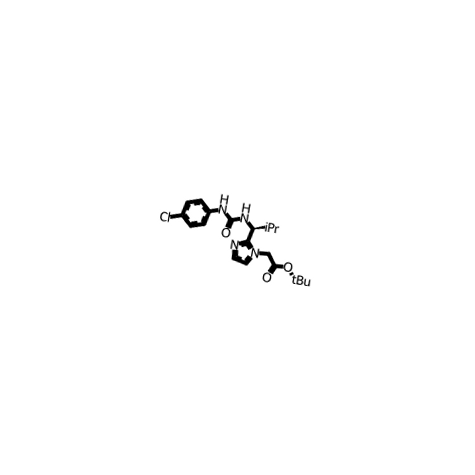 CC(C)[C@H](NC(=O)Nc1ccc(Cl)cc1)c1nccn1CC(=O)OC(C)(C)C